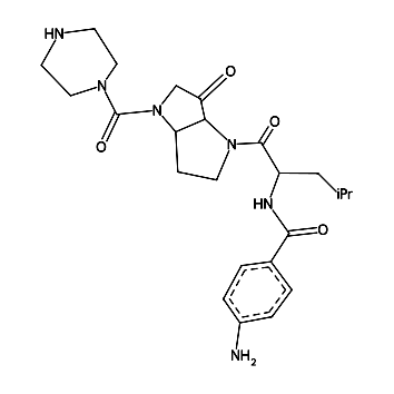 CC(C)CC(NC(=O)c1ccc(N)cc1)C(=O)N1CCC2C1C(=O)CN2C(=O)N1CCNCC1